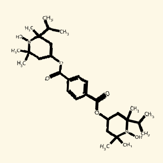 CC(C)C1(C)CC(OC(=O)c2ccc(C(=O)OC3CC(C)(C)N(O)C(C)(C(C)C)C3)cc2)CC(C)(C)N1O